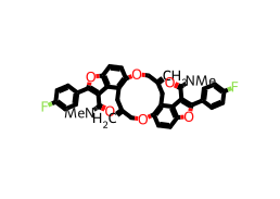 C=C1COc2ccc3oc(-c4ccc(F)cc4)c(C(=O)NC)c3c2CC(=C)COc2ccc3oc(-c4ccc(F)cc4)c(C(=O)NC)c3c2C1